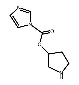 O=C(OC1CCNC1)n1ccnc1